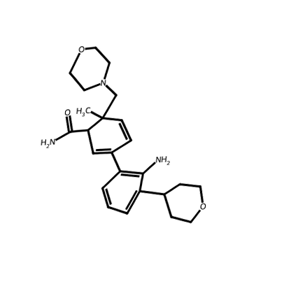 CC1(CN2CCOCC2)C=CC(c2cccc(C3CCOCC3)c2N)=CC1C(N)=O